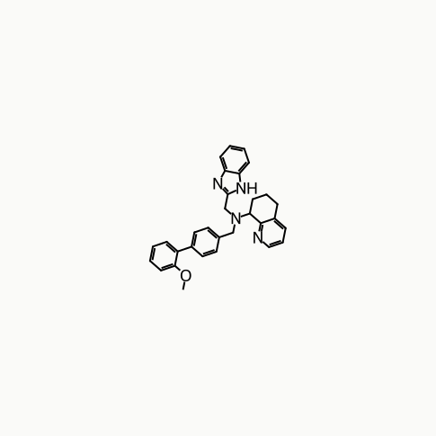 COc1ccccc1-c1ccc(CN(Cc2nc3ccccc3[nH]2)C2CCCc3cccnc32)cc1